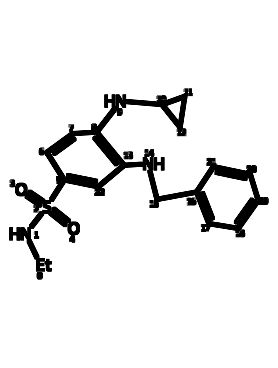 CCNS(=O)(=O)c1ccc(NC2CC2)c(NCc2ccccc2)c1